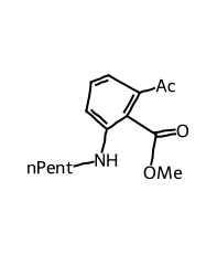 CCCCCNc1cccc(C(C)=O)c1C(=O)OC